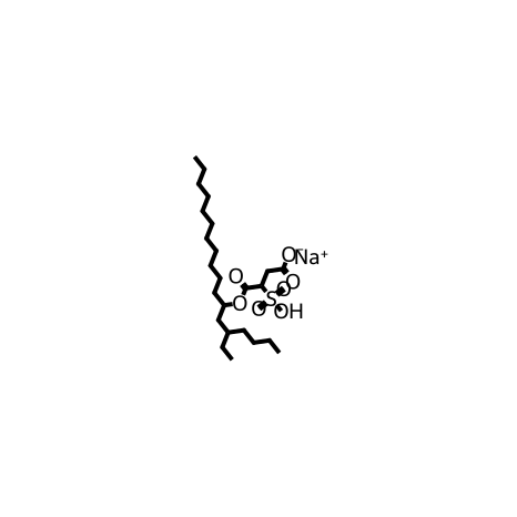 CCCCCCCCCCCC(CC(CC)CCCC)OC(=O)C(CC(=O)[O-])S(=O)(=O)O.[Na+]